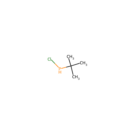 CC(C)(C)PCl